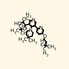 Cc1ncc(-c2ccc(OCCC(C)(C)C)cn2)c(N2CCC(C)(C)CC2)c1C(OC(C)(C)C)C(=O)O